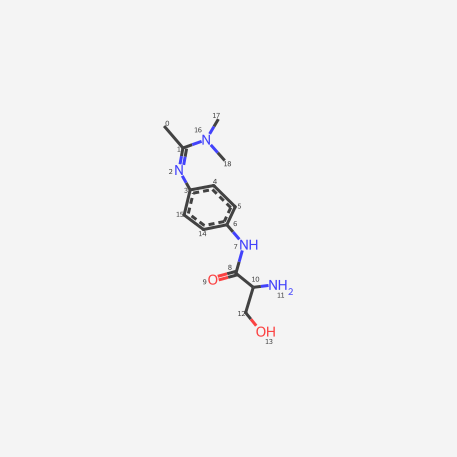 CC(=Nc1ccc(NC(=O)C(N)CO)cc1)N(C)C